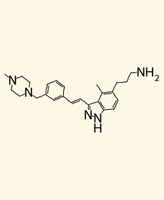 Cc1c(CCCN)ccc2[nH]nc(C=Cc3cccc(CN4CCN(C)CC4)c3)c12